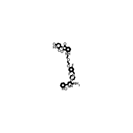 Nc1nnc(-c2ccccc2O)cc1N1CCN(Cc2cc(F)c(OCCOCCNc3cccc4c3C(=O)N(C3CCC(=O)NC3=O)C4=O)cc2F)CC1